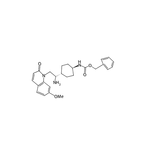 COc1ccc2ccc(=O)n(CC(N)[C@H]3CC[C@H](NC(=O)OCc4ccccc4)CC3)c2c1